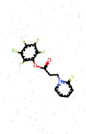 O=C(CCn1ccccc1=S)Oc1c(F)c(F)c(F)c(F)c1F